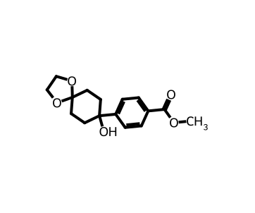 COC(=O)c1ccc(C2(O)CCC3(CC2)OCCO3)cc1